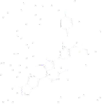 C[C@H](Oc1cc(-c2nn(C)c3c(-c4ccc5c(cnn5C)c4)cnc(N)c23)ccc1NS(=O)(=O)C(F)F)c1ccc(F)cc1